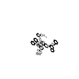 CN1CCC[C@H]1COc1nc2c(c(N3CCN(C(=O)OC(C)(C)C)CC3C(O)[Si](c3ccccc3)(c3ccccc3)C(C)(C)C)n1)CCN(c1cc(OCc3ccccc3)cc3ccccc13)C2